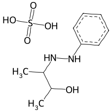 CC(O)C(C)NNc1ccccc1.O=S(=O)(O)O